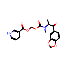 CC(C(=O)c1ccc2c(c1)OCO2)N(C)C(=O)OCOC(=O)C1=CNC=CC1